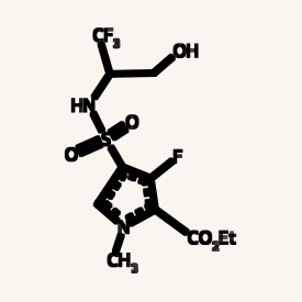 CCOC(=O)c1c(F)c(S(=O)(=O)NC(CO)C(F)(F)F)cn1C